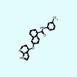 O=C(Nc1cccc(C(F)(F)F)c1)c1cccc2cc(Oc3ccnc4[nH]ccc34)ccc12